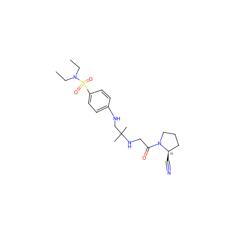 CCN(CC)S(=O)(=O)c1ccc(NCC(C)(C)NCC(=O)N2CCC[C@H]2C#N)cc1